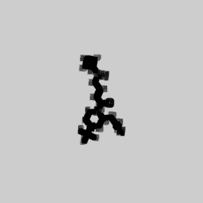 CC(C)(C)N1CCN(C(=O)/C=C/CNC23CC(C2)C3)C(CC#N)C1